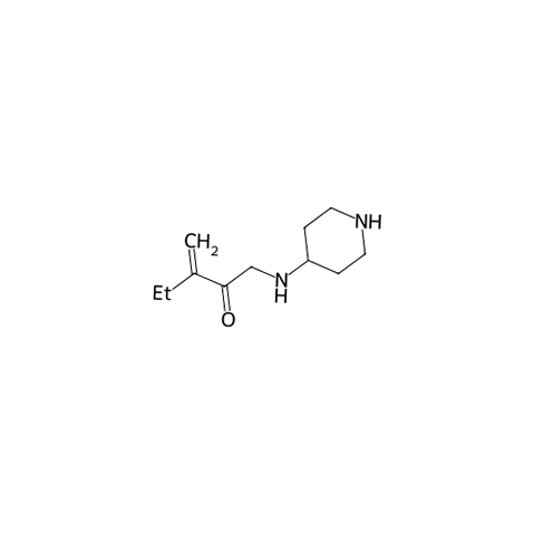 C=C(CC)C(=O)CNC1CCNCC1